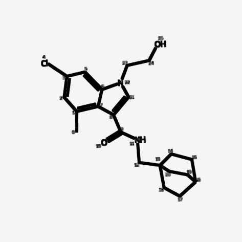 Cc1cc(Cl)cc2c1c(C(=O)NCC13CCC(CC1)CC3)cn2CCO